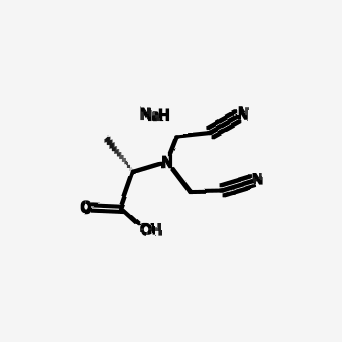 C[C@@H](C(=O)O)N(CC#N)CC#N.[NaH]